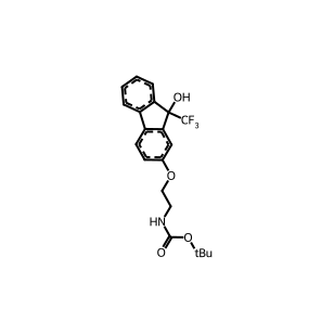 CC(C)(C)OC(=O)NCCOc1ccc2c(c1)C(O)(C(F)(F)F)c1ccccc1-2